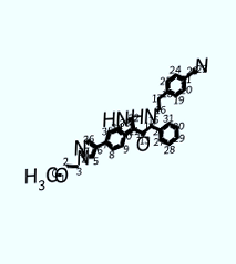 COCCn1cc(-c2ccc3c(C(=O)C(NCCc4ccc(C#N)cc4)c4ccccc4)c[nH]c3c2)cn1